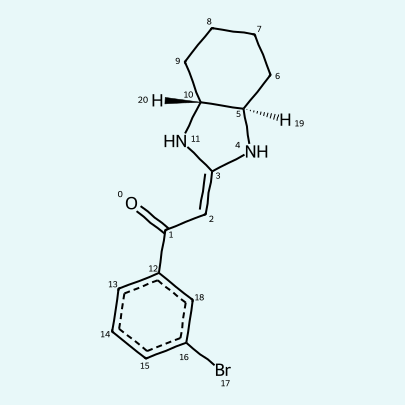 O=C(C=C1N[C@@H]2CCCC[C@H]2N1)c1cccc(Br)c1